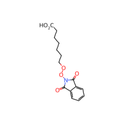 O=C(O)CCCCCCOON1C(=O)c2ccccc2C1=O